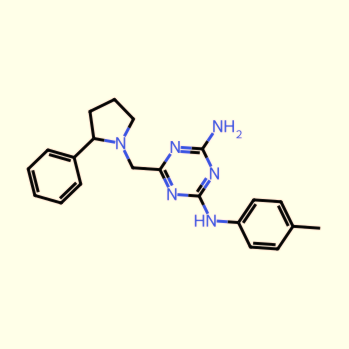 Cc1ccc(Nc2nc(N)nc(CN3CCCC3c3ccccc3)n2)cc1